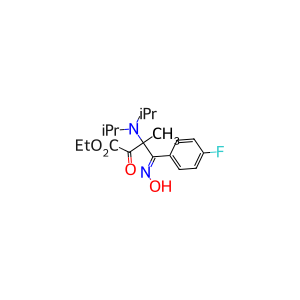 CCOC(=O)C(=O)C(C)(C(=NO)c1ccc(F)cc1)N(C(C)C)C(C)C